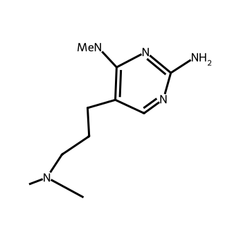 CNc1nc(N)ncc1CCCN(C)C